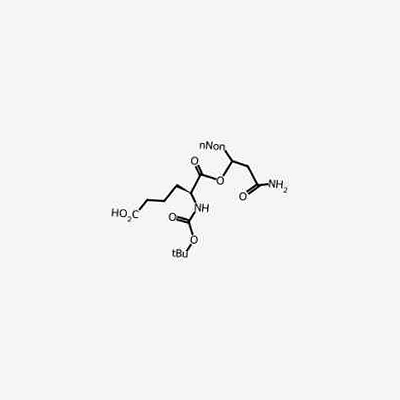 CCCCCCCCCC(CC(N)=O)OC(=O)[C@H](CCCC(=O)O)NC(=O)OC(C)(C)C